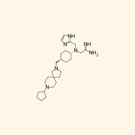 N=C(N)CN(Cc1ncc[nH]1)[C@H]1CC[C@H](CN2CCC3(CCN(C4CCCC4)CC3)C2)CC1